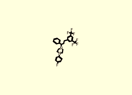 Fc1ccc(N2CCN(C([CH]Cc3cc(C(F)(F)F)cc(C(F)(F)F)c3)c3ccccc3)CC2)cc1